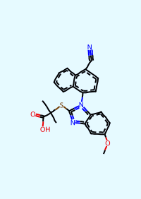 COc1ccc2c(c1)nc(SC(C)(C)C(=O)O)n2-c1ccc(C#N)c2ccccc12